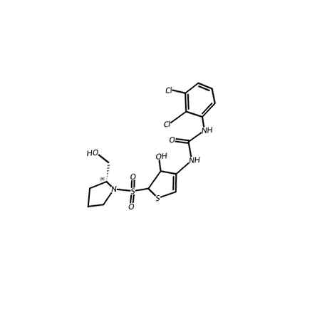 O=C(NC1=CSC(S(=O)(=O)N2CCC[C@@H]2CO)C1O)Nc1cccc(Cl)c1Cl